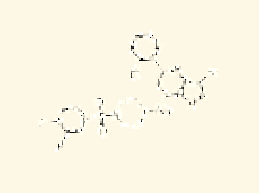 O=S(=O)(c1ccc(F)c(F)c1)N1CCC(Nc2cc(-c3ccccc3Cl)nc3c(Br)cnn23)CC1